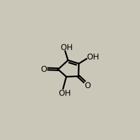 O=C1C(O)=C(O)C(=O)C1O